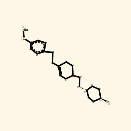 CCCCOc1ccc(CCC2=CCC(CC[C@H]3CC[C@H](CC)CC3)CC2)cc1